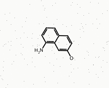 Nc1cccc2ccc([O])cc12